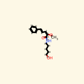 CO/C(=C/C=C/c1ccccc1)C(=O)NCCCCCO